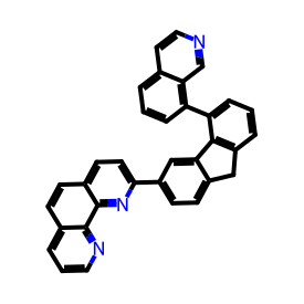 c1cc2c(c(-c3cccc4ccncc34)c1)-c1cc(-c3ccc4ccc5cccnc5c4n3)ccc1C2